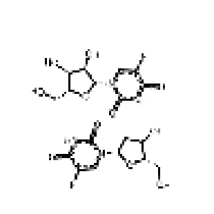 O=c1[nH]c(=O)n([C@@H]2CC(O)[C@H](CO)O2)cc1F.O=c1[nH]c(=O)n([C@@H]2O[C@H](CO)[C@@H](O)[C@H]2O)cc1F